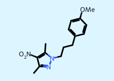 COc1ccc(CCCn2nc(C)c([N+](=O)[O-])c2C)cc1